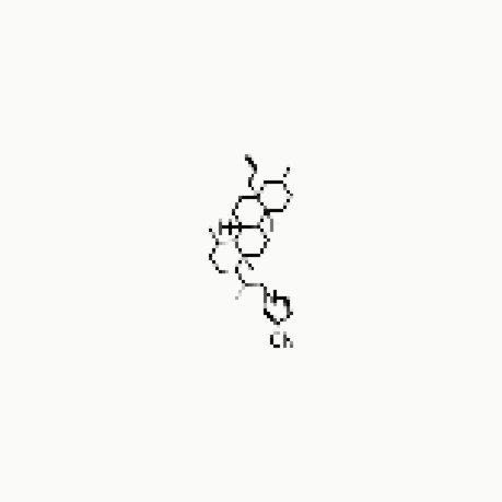 C=CC[C@]12CC[C@@H]3C(CC[C@@]4(C)C3[C@H](C)CC[C@@H]4[C@@H](C)Cn3ccc(C#N)c3)[C@H]1CC[C@H](C)C2